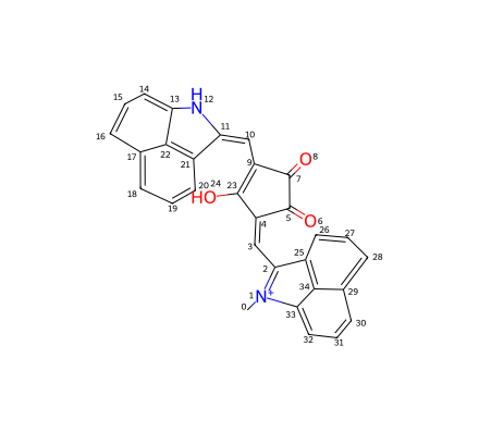 C[N+]1=C(/C=C2\C(=O)C(=O)C(/C=c3/[nH]c4cccc5cccc3c54)=C2O)c2cccc3cccc1c23